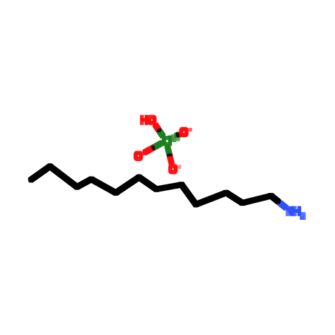 CCCCCCCCCCCCN.[O-][Cl+3]([O-])([O-])O